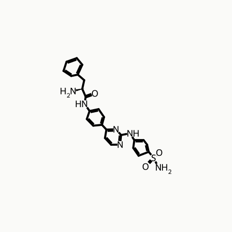 N[C@@H](Cc1ccccc1)C(=O)Nc1ccc(-c2ccnc(Nc3ccc(S(N)(=O)=O)cc3)n2)cc1